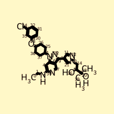 CCNc1cc2c(cn1)c(-c1cnn(C[C@@H](O)C(C)(C)O)c1)nn2C1CCC(Oc2cccc(Cl)c2)CC1